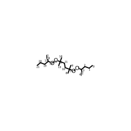 CCCC(F)OOC(C)(C)CCC(C)(C)OOC(F)CCC